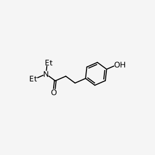 CCN(CC)C(=O)CCc1ccc(O)cc1